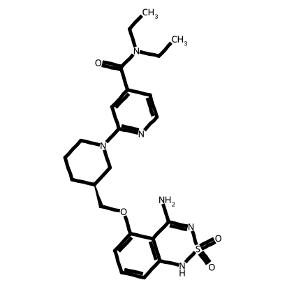 CCN(CC)C(=O)c1ccnc(N2CCC[C@H](COc3cccc4c3C(N)=NS(=O)(=O)N4)C2)c1